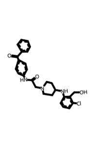 O=C(CN1CCC(Nc2cccc(Cl)c2CO)CC1)Nc1ccc(C(=O)c2ccccc2)cc1